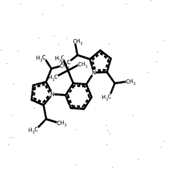 CC(C)c1ccc(C(C)C)n1-c1cccc(-n2c(C(C)C)ccc2C(C)C)c1C(C)(C)C